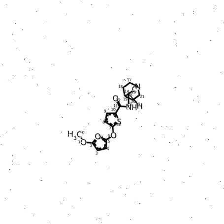 COc1ccc(Oc2ccc(C(=O)N[C@H]3CN4CCC3CC4)s2)o1